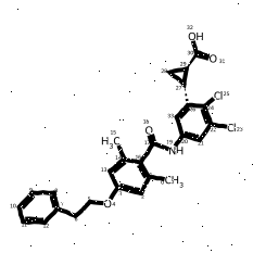 Cc1cc(OCCc2ccccc2)cc(C)c1C(=O)Nc1cc(Cl)c(Cl)c([C@@H]2C[C@H]2C(=O)O)c1